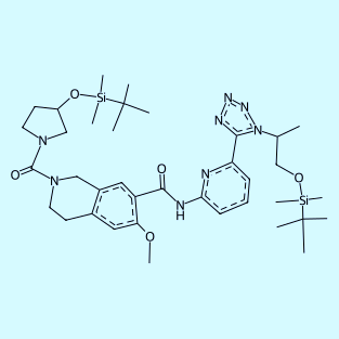 COc1cc2c(cc1C(=O)Nc1cccc(-c3nnnn3C(C)CO[Si](C)(C)C(C)(C)C)n1)CN(C(=O)N1CCC(O[Si](C)(C)C(C)(C)C)C1)CC2